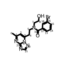 Cc1cc(CCN(CCO)C(=O)c2cccc(Br)c2)n2ncnc2n1